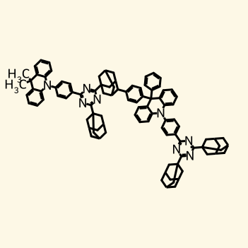 CC1(C)c2ccccc2N(c2ccc(-c3nc(C45CC6CC(CC(C6)C4)C5)nc(C45CC6CC(C4)C(c4ccc(C7(c8ccccc8)c8ccccc8N(c8ccc(-c9nc(C%10%11CC%12CC(CC(C%12)C%10)C%11)nc(C%10%11CC%12CC(CC(C%12)C%10)C%11)n9)cc8)c8ccccc87)cc4)C(C6)C5)n3)cc2)c2ccccc21